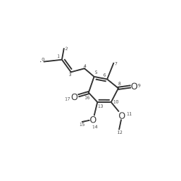 [CH2]C(C)=CCC1=C(C)C(=O)C(OC)=C(OC)C1=O